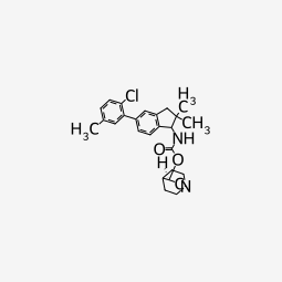 Cc1ccc(Cl)c(-c2ccc3c(c2)CC(C)(C)C3NC(=O)O[C@H]2CN3CCC2CC3)c1